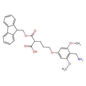 COc1cc(OCCCC(C(=O)O)C(=O)OCC2c3ccccc3-c3ccccc32)cc(OC)c1CN